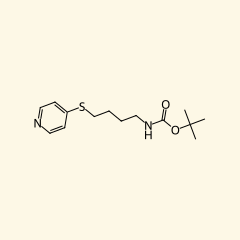 CC(C)(C)OC(=O)NCCCCSc1ccncc1